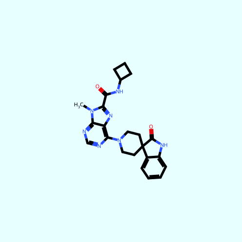 Cn1c(C(=O)NC2CCC2)nc2c(N3CCC4(CC3)C(=O)Nc3ccccc34)ncnc21